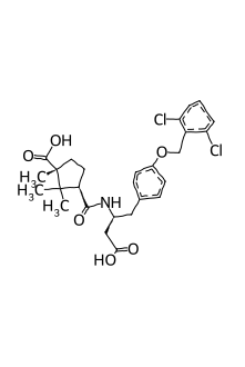 CC1(C)[C@H](C(=O)N[C@H](CC(=O)O)Cc2ccc(OCc3c(Cl)cccc3Cl)cc2)CC[C@@]1(C)C(=O)O